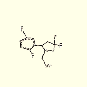 C[C](C)CN1CC(F)(F)CC1c1cc(F)ccc1F